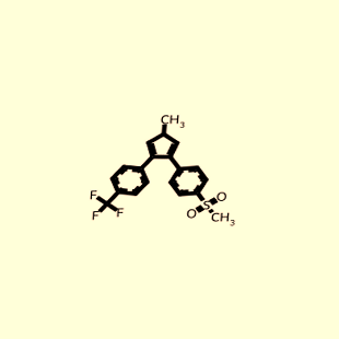 CC1C=C(c2ccc(C(F)(F)F)cc2)C(c2ccc(S(C)(=O)=O)cc2)=C1